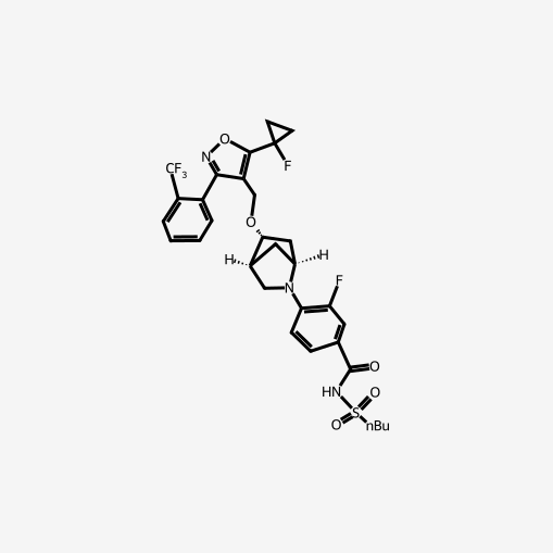 CCCCS(=O)(=O)NC(=O)c1ccc(N2C[C@@H]3C[C@H]2C[C@H]3OCc2c(-c3ccccc3C(F)(F)F)noc2C2(F)CC2)c(F)c1